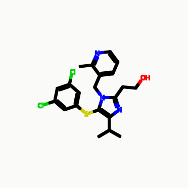 Cc1ncccc1Cn1c(CCO)nc(C(C)C)c1Sc1cc(Cl)cc(Cl)c1